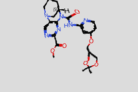 COC(=O)c1ncc2c(n1)N(C(=O)Nc1cc(OCC3COC(C)(C)O3)ccn1)[C@H]1CCCN2C1